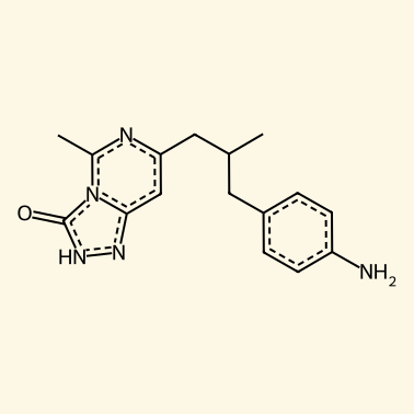 Cc1nc(CC(C)Cc2ccc(N)cc2)cc2n[nH]c(=O)n12